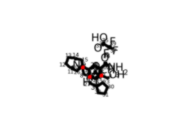 CC(C)(CO)C(=O)N(CCN1C2CCC1CC(c1cccc(C(N)=O)c1)C2)CC1CCCC1.O=C(O)C(F)(F)F